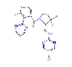 Cc1cccc(C(=O)N2CCC(F)(F)C2CNc2ncc(Cl)cn2)c1-c1ncccn1